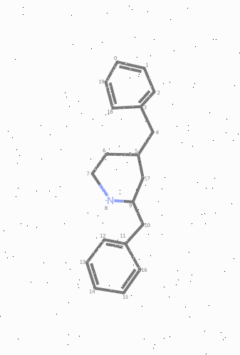 c1ccc(CC2CC[N]C(Cc3ccccc3)C2)cc1